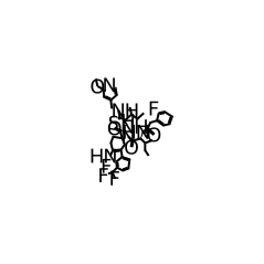 CCC(C)[C@H](NC(=O)Cc1ccccc1F)C(=O)N[C@]1(C(=O)N[C@H](C(=S)NCc2ccnc(OC)c2)C(C)CC)CCc2[nH]c3c(C(F)(F)F)cccc3c2C1